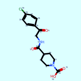 O=C(CNC(=O)C1CCN(C(=O)O)CC1)c1ccc(Cl)cc1